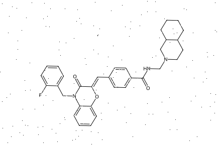 O=C(NCN1CCC2CCCCC2C1)c1ccc(/C=C2\Oc3ccccc3N(Cc3ccccc3F)C2=O)cc1